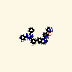 c1ccc(-c2nc(-c3ccccc3)nc(-c3cccc(-c4ccc5c(-c6ccc7c(n6)oc6ncccc67)nccc5c4)c3)n2)cc1